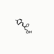 Cc1ccc(C=CC(=O)CCO)cc1